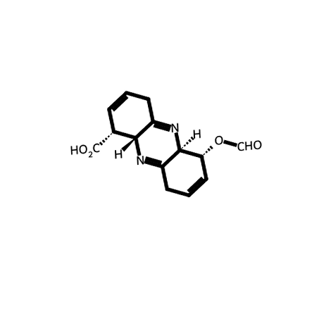 O=CO[C@@H]1C=CCC2=N[C@H]3C(=N[C@H]21)CC=C[C@H]3C(=O)O